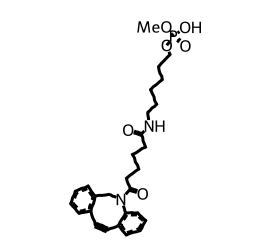 COP(=O)(O)OCCCCCCNC(=O)CCCCC(=O)N1Cc2ccccc2C#Cc2ccccc21